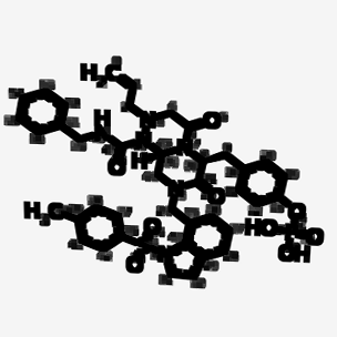 C=CCN1CC(=O)N2[C@@H](Cc3ccc(OP(=O)(O)O)cc3)C(=O)N(Cc3cccc4ccn(S(=O)(=O)c5ccc(C)cc5)c34)C[C@@H]2N1C(=O)NCc1ccccc1